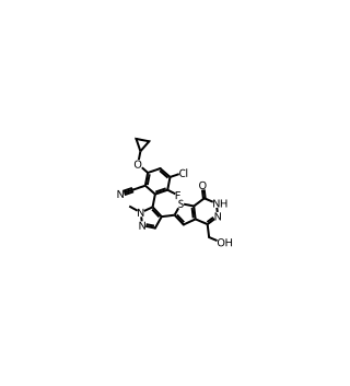 Cn1ncc(-c2cc3c(CO)n[nH]c(=O)c3s2)c1-c1c(F)c(Cl)cc(OC2CC2)c1C#N